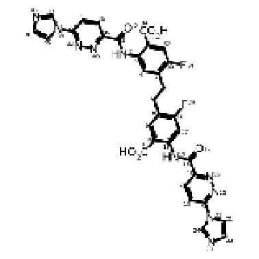 O=C(Nc1cc(CCc2cc(C(=O)O)c(NC(=O)c3ccc(-n4ccnc4)nn3)cc2F)c(F)cc1C(=O)O)c1ccc(-n2ccnc2)nn1